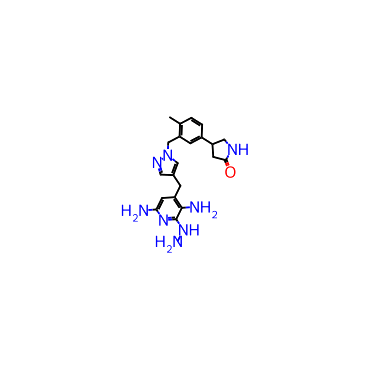 Cc1ccc(C2CNC(=O)C2)cc1Cn1cc(Cc2cc(N)nc(NN)c2N)cn1